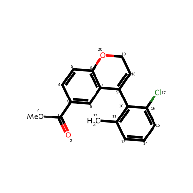 COC(=O)c1ccc2c(c1)C(c1c(C)cccc1Cl)=CCO2